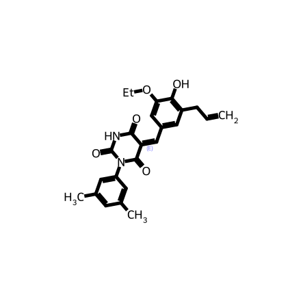 C=CCc1cc(/C=C2\C(=O)NC(=O)N(c3cc(C)cc(C)c3)C2=O)cc(OCC)c1O